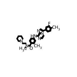 Cc1ccc(-c2cnc3c(Nc4ccc(C(=O)N(C)CCN5CCCCC5)c(C)c4)nccn23)cc1F